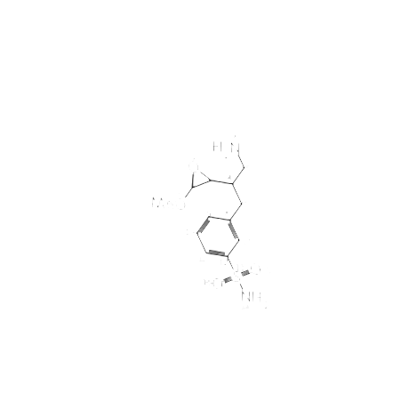 COC1OC1C(CN)Cc1cccc(S(N)(=O)=O)c1